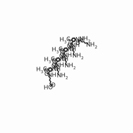 CCc1ccc(NC(=O)[C@@H](N)CCCCN)cc1C(=O)N[C@@H](CCCCN)C(=O)Nc1ccc(OC)c(C(=O)N[C@@H](CCCCN)C(=O)Nc2ccc(OC)c(C(=O)N[C@@H](CCCCN)C(=O)Nc3ccc(OC)c(C(=O)NCCCCCC(=O)O)c3)c2)c1